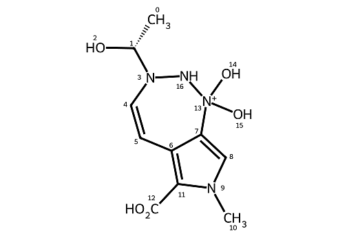 C[C@@H](O)N1C=Cc2c(cn(C)c2C(=O)O)[N+](O)(O)N1